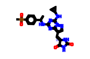 CC(Nc1nc(NC2CC2)n2ncc(/C=C3\NC(=O)NC3=O)c2n1)c1ccc(S(C)(=O)=O)cc1